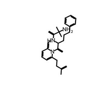 C=C(C)CCC1=CC=C/C(=C/C)N1C(=C)C(CCCc1ccccc1)NC(=C)C(C)(C)N